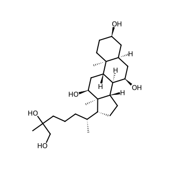 C[C@H](CCCC(C)(O)CO)[C@H]1CC[C@H]2[C@@H]3[C@H](O)C[C@@H]4C[C@H](O)CC[C@]4(C)[C@H]3C[C@H](O)[C@]12C